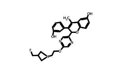 CC1=C(c2cccc(O)c2)C(c2cnc(OCCN3CC(CF)C3)cn2)Oc2ccc(O)cc21